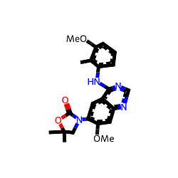 COc1cc2ncnc(Nc3cccc(OC)c3C)c2cc1N1CC(C)(C)OC1=O